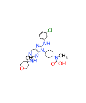 CN(C(=O)O)[C@H]1CC[C@H](n2c(Nc3cccc(Cl)c3)nc3cnc(NC4(C)CCOCC4)nc32)CC1